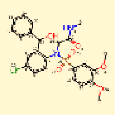 CNC(=O)CN(c1ccc(Cl)cc1C(O)c1ccccc1)S(=O)(=O)c1ccc(OC)c(OC)c1